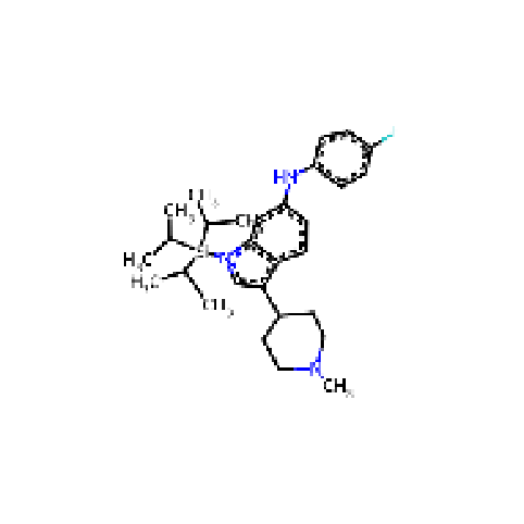 CC(C)[Si](C(C)C)(C(C)C)n1cc(C2CCN(C)CC2)c2ccc(Nc3ccc(F)cc3)cc21